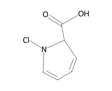 O=C(O)C1C=CC=CN1Cl